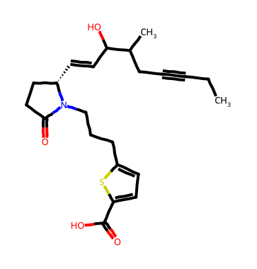 CCC#CCC(C)C(O)/C=C/[C@H]1CCC(=O)N1CCCc1ccc(C(=O)O)s1